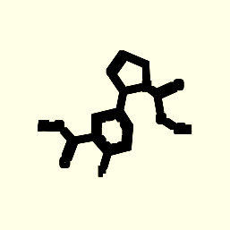 COC(=O)c1cc(C2C=CCN2C(=O)OC(C)(C)C)ccc1F